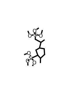 CO[Si](CC(C)C1CCC(C)C([Si](OC)(OC)OC)C1)(OC)OC